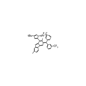 CCCC1C=C(C(C)(C)C)C=C1c1c(C)c(=C(c2cccc(C(F)(F)F)c2)c2cccc(C(F)(F)F)c2)cc2c1=[C]c1cc(C)ccc1-2